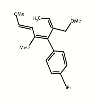 C\C=C(COC)/C(=C(\C=C\OC)OC)c1ccc(C(C)C)cc1